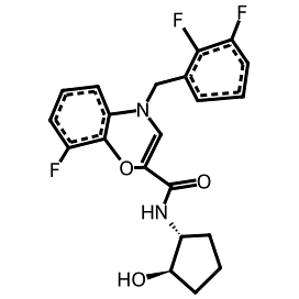 O=C(N[C@@H]1CCC[C@H]1O)C1=CN(Cc2cccc(F)c2F)c2cccc(F)c2O1